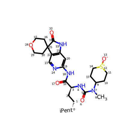 CCC[C@@H](C)CC[C@H](NC(=O)N(C)C1CC[S+]([O-])CC1)C(=O)Nc1cc2c(cn1)C1(CCOCC1)C(=O)N2